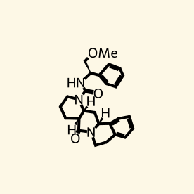 COC[C@H](NC(=O)N1CCC[C@H]2C(=O)N3CCc4ccccc4[C@H]3C[C@H]21)c1ccccc1